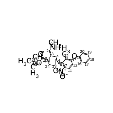 CN/C=C1\CN(c2c([N+](=O)[O-])ccc(Oc3ccccc3)c2C)CCN1C(=O)OC(C)(C)C